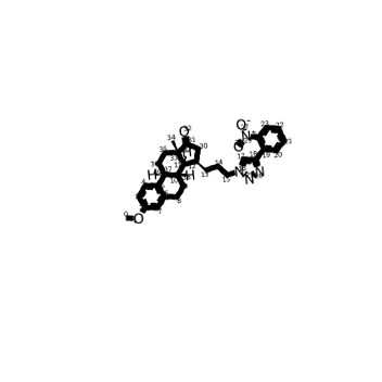 COc1ccc2c(c1)CC[C@H]1[C@@H]3[C@H](CCCn4cc(-c5ccccc5[N+](=O)[O-])nn4)CC(=O)[C@@]3(C)CC[C@H]21